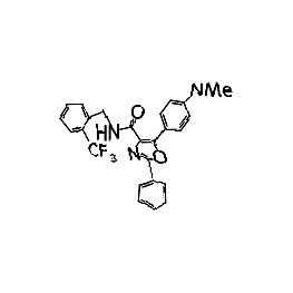 CNc1ccc(-c2oc(-c3ccccc3)nc2C(=O)NCc2ccccc2C(F)(F)F)cc1